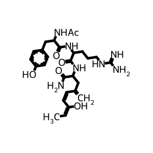 C=C(/C=C\C(O)=C/C)CC(NC(=O)C(CCCNC(=N)N)NC(=O)C(Cc1ccc(O)cc1)NC(C)=O)C(N)=O